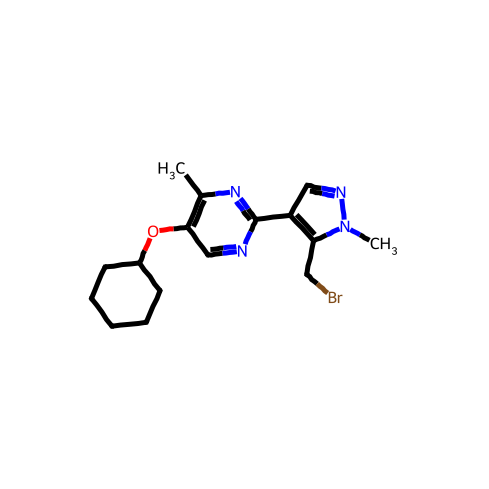 Cc1nc(-c2cnn(C)c2CBr)ncc1OC1CCCCC1